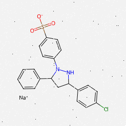 O=S(=O)([O-])c1ccc(N2NC(c3ccc(Cl)cc3)CC2c2ccccc2)cc1.[Na+]